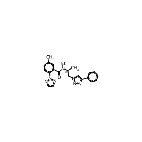 CCN(C(=O)c1cc(C)ccc1-n1nccn1)[C@@H](C)Cn1cc(-c2ccccc2)nn1